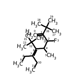 C=C(C(F)C(C)C(=C(CC)CC)C(C)(C)C)C(C)(C)C